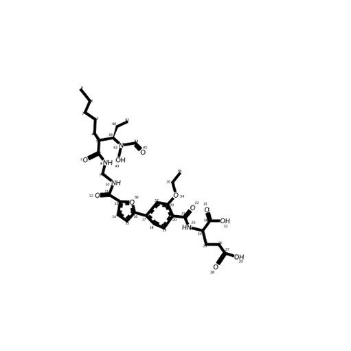 CCCCCC(C(=O)NCNC(=O)c1ccc(-c2ccc(C(=O)NC(CCC(=O)O)C(=O)O)c(OCC)c2)o1)[C@@H](CC)N(O)C=O